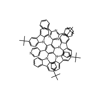 CC(C)(C)c1ccc2c(c1)c1ccccc1n2-c1c(-c2ccncc2)c(-n2c3ccccc3c3cc(C(C)(C)C)ccc32)c(-n2c3ccccc3c3cc(C(C)(C)C)ccc32)c(-n2c3ccccc3c3cc(C(C)(C)C)ccc32)c1-c1nc(-c2ccccc2)nc(-c2ccccc2)n1